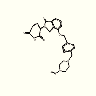 CSN1CCN(Cc2ccc(COc3cccc4c3CN(C3CCC(=O)NC3=O)C4=O)cc2)CC1